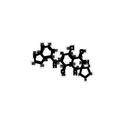 O=C1NC2(CCCC2)Nn2c1c(Cl)cc(Nc1ncnc3sccc13)c2=O